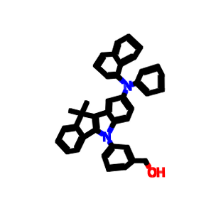 CC1(C)c2ccccc2-c2c1c1cc(N(c3ccccc3)c3cccc4ccccc34)ccc1n2-c1cccc(CO)c1